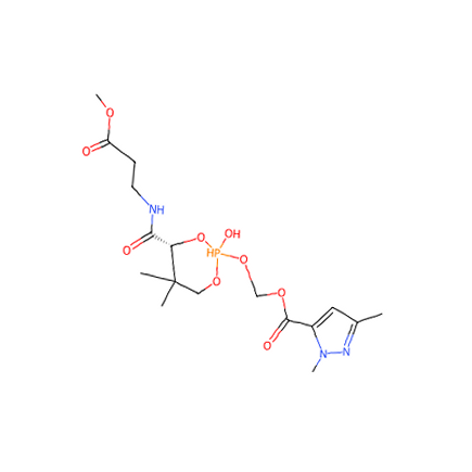 COC(=O)CCNC(=O)[C@@H]1O[PH](O)(OCOC(=O)c2cc(C)nn2C)OCC1(C)C